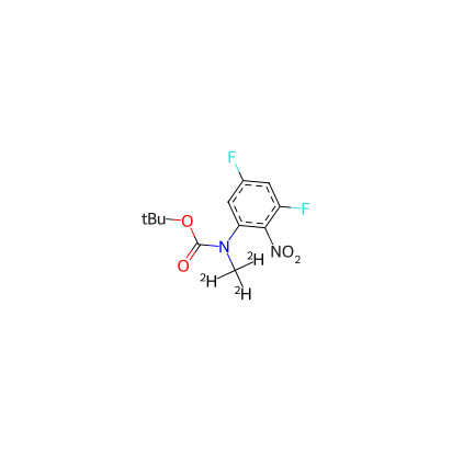 [2H]C([2H])([2H])N(C(=O)OC(C)(C)C)c1cc(F)cc(F)c1[N+](=O)[O-]